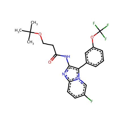 CC(C)(C)OCCC(=O)Nc1nc2ccc(F)cn2c1-c1cccc(OC(F)(F)F)c1